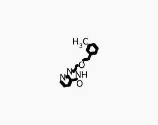 Cc1cccc(CCOCc2nc3ncccc3c(=O)[nH]2)c1